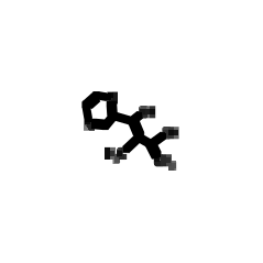 C=C(S)/C(C)=C(\S)c1cnccn1